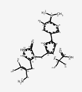 CN(C)c1ncc(-c2ccc(Cn3c(CC(CN)=C(F)F)n[nH]c3=O)s2)cc1F.O=C(O)C(F)(F)F